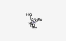 CC(C)(C)OC(=O)/N=C(/NC(=O)OC(C)(C)C)N1CCC(CCO)CC1